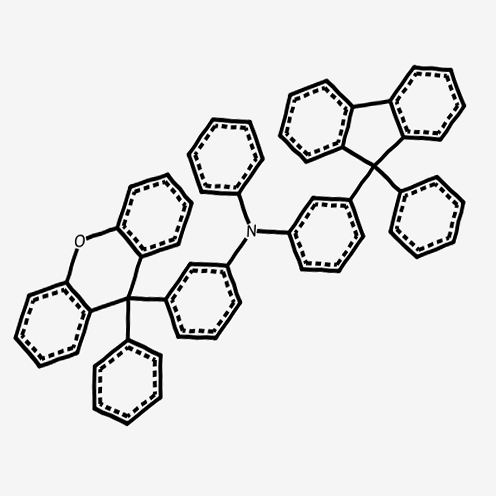 c1ccc(N(c2cccc(C3(c4ccccc4)c4ccccc4Oc4ccccc43)c2)c2cccc(C3(c4ccccc4)c4ccccc4-c4ccccc43)c2)cc1